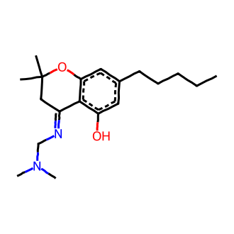 CCCCCc1cc(O)c2c(c1)OC(C)(C)CC2=NCN(C)C